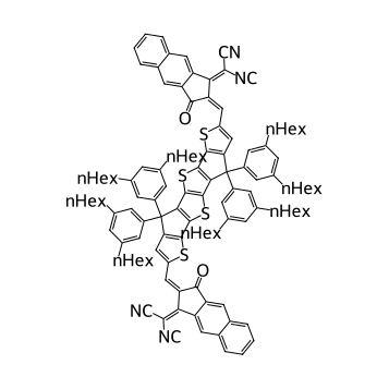 [C-]#[N+]/C(C#N)=C1\C(=C\c2cc3c(s2)-c2sc4c5c(sc4c2C3(c2cc(CCCCCC)cc(CCCCCC)c2)c2cc(CCCCCC)cc(CCCCCC)c2)-c2sc(/C=C3\C(=O)c4cc6ccccc6cc4\C3=C(\C#N)[N+]#[C-])cc2C5(c2cc(CCCCCC)cc(CCCCCC)c2)c2cc(CCCCCC)cc(CCCCCC)c2)C(=O)c2cc3ccccc3cc21